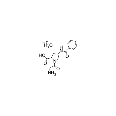 Cl.NCC(=O)N1CC(NC(=O)c2ccccc2)CC1C(=O)O.O